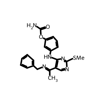 CSc1ncc(/C(C)=N/Cc2ccccc2)c(Nc2cccc(OC(N)=O)c2)n1